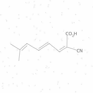 CC(C)=CC=CC=C(C#N)C(=O)O